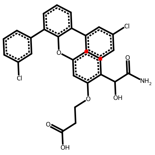 NC(=O)C(O)c1ccc(Oc2c(-c3cccc(Cl)c3)cccc2-c2cccc(Cl)c2)cc1OCCC(=O)O